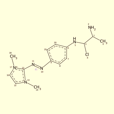 CC(N)C(Cl)Nc1ccc(/N=N/c2n(C)cc[n+]2C)cc1